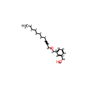 CCCCCCCCC#CCOCc1cccc(CO)c1